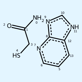 NC(=O)CS.c1cnc2nc[nH]c2c1